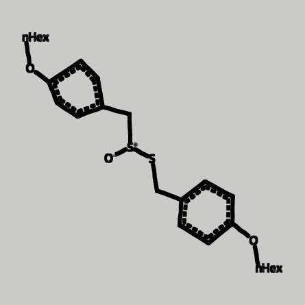 CCCCCCOc1ccc(CS[S+]([O-])Cc2ccc(OCCCCCC)cc2)cc1